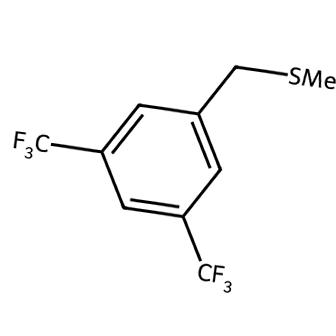 CSCc1cc(C(F)(F)F)cc(C(F)(F)F)c1